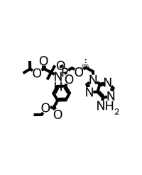 CCOC(=O)c1ccc(OP(=O)(CO[C@H](C)Cn2cnc3c(N)ncnc32)NC(C)(C)C(=O)OC(C)C)cc1